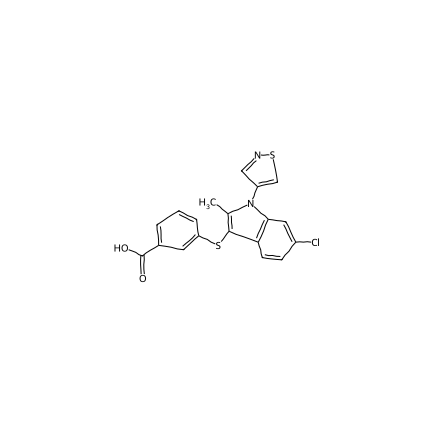 Cc1c(Sc2cccc(C(=O)O)c2)c2ccc(Cl)cc2n1-c1cnsc1